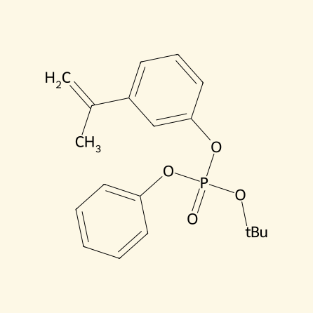 C=C(C)c1cccc(OP(=O)(Oc2ccccc2)OC(C)(C)C)c1